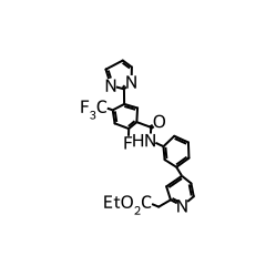 CCOC(=O)Cc1cc(-c2cccc(NC(=O)c3cc(-c4ncccn4)c(C(F)(F)F)cc3F)c2)ccn1